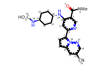 CNC(=O)c1cnc(-c2ccc3cc(C#N)cnn23)cc1N[C@H]1CC[C@H](NC(=O)O)CC1